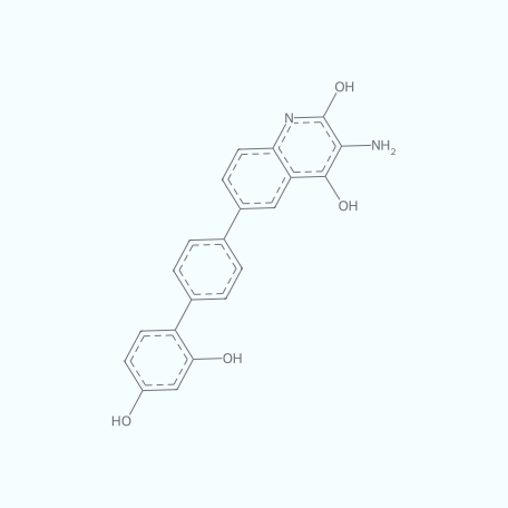 Nc1c(O)nc2ccc(-c3ccc(-c4ccc(O)cc4O)cc3)cc2c1O